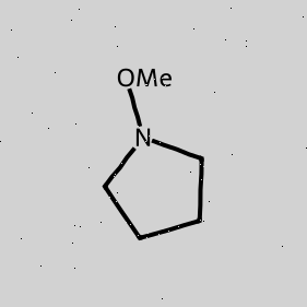 CON1CCCC1